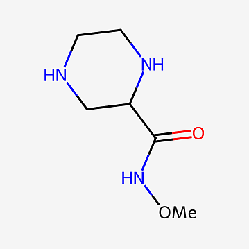 CONC(=O)C1CNCCN1